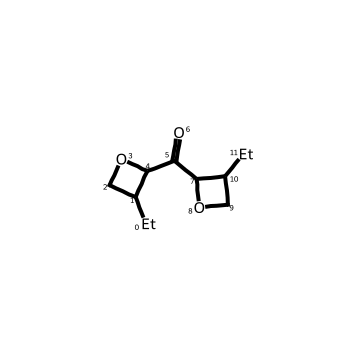 CCC1COC1C(=O)C1OCC1CC